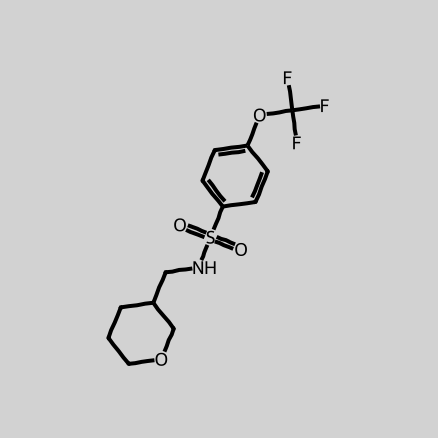 O=S(=O)(NCC1CCCOC1)c1ccc(OC(F)(F)F)cc1